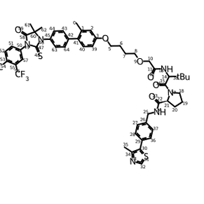 Cc1cc(OCCCCOCC(=O)NC(C(=O)N2CCC[C@H]2C(=O)NCc2ccc(-c3scnc3C)cc2)C(C)(C)C)ccc1-c1ccc(N2C(=S)N(c3ccc(C#N)c(C(F)(F)F)c3)C(=O)C2(C)C)cc1